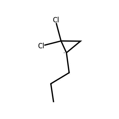 CCC[C]1CC1(Cl)Cl